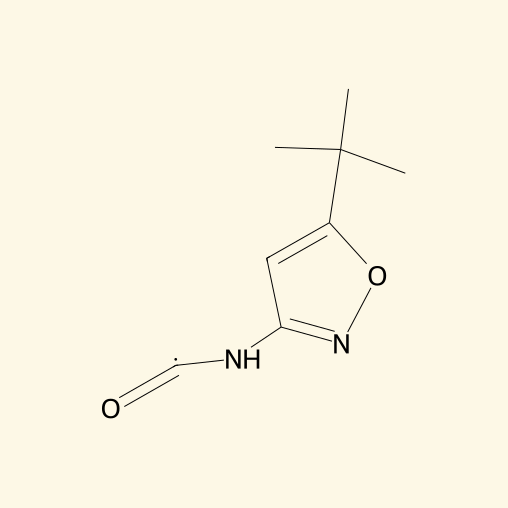 CC(C)(C)c1cc(N[C]=O)no1